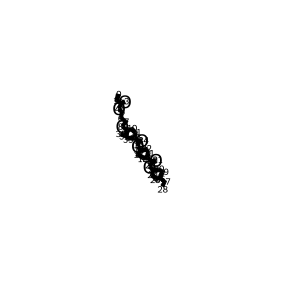 C=CC(=O)OCCCOc1ccc(C(=O)Oc2ccc(C(=O)Oc3ccc(CC)cc3)cc2)cc1C